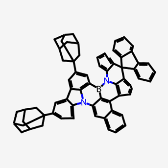 c1ccc2c(c1)-c1ccccc1C21c2ccccc2N2B3c4c(cc5ccccc5c4-c4cccc1c42)-n1c2ccc(C45CC6CC(CC(C6)C4)C5)cc2c2cc(C45CC6CC(CC(C6)C4)C5)cc3c21